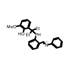 CCC(CC)(Pc1ccccc1/C=N/c1ccccc1)c1cccc(OC)c1O